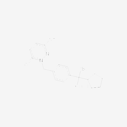 CC(C)(C)C(C(=O)O)(c1ccc(Cn2nc(C(F)(F)F)ccc2=O)cc1)C1CCCC1